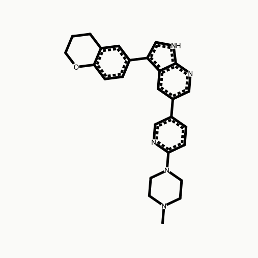 CN1CCN(c2ccc(-c3cnc4[nH]cc(-c5ccc6c(c5)CCCO6)c4c3)cn2)CC1